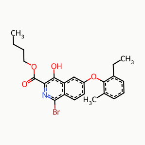 CCCCOC(=O)c1nc(Br)c2ccc(Oc3c(C)cccc3CC)cc2c1O